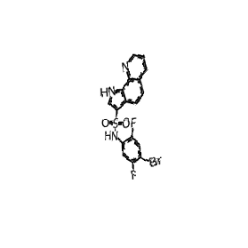 O=S(=O)(Nc1cc(F)c(Br)cc1F)c1c[nH]c2c1ccc1cccnc12